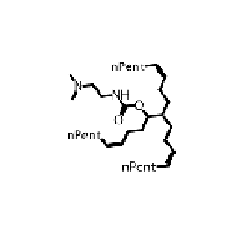 CCCCC/C=C\CCC(CC/C=C\CCCCC)C(CC/C=C\CCCCC)OC(=O)NCCN(C)C